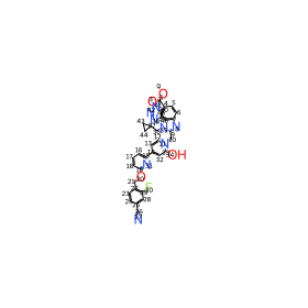 COC(=O)c1ccc2nc(CN3C=CC(c4cccc(OCc5ccc(C#N)cc5F)n4)=CC3O)n(CC3(n4ccnn4)CC3)c2c1